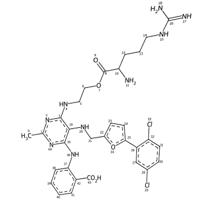 Cc1nc(NCCOC(=O)C(N)CCCNC(=N)N)c(NCc2ccc(-c3cc(Cl)ccc3Cl)o2)c(Nc2ccccc2C(=O)O)n1